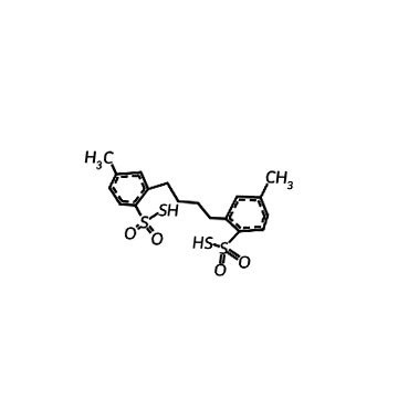 Cc1ccc(S(=O)(=O)S)c(CCCCc2cc(C)ccc2S(=O)(=O)S)c1